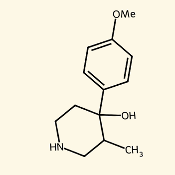 COc1ccc(C2(O)CCNCC2C)cc1